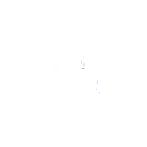 NCC(=O)ONCl